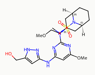 COCCS(=O)(=O)N1[C@@H]2CCC[C@H]1C[C@@H](N(C)c1nc(Nc3cc(CO)[nH]n3)cc(OC)n1)C2